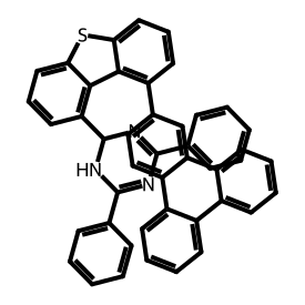 c1ccc(C2=NC(c3cccc4sc5cccc(-c6ccc7c8ccccc8c8ccccc8c7c6)c5c34)NC(c3ccccc3)=N2)cc1